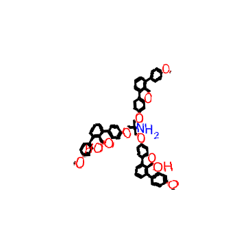 COc1ccc(-c2cccc(-c3ccc(OCC(N)(COc4ccc(-c5cccc(-c6ccc(OC)cc6)c5C(=O)O)cc4)COc4ccc(-c5cccc(-c6ccc(OC)cc6)c5C(=O)O)cc4)cc3)c2C=O)cc1